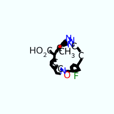 Cc1c2ccc3c1nnn3CCCCCc1ccc(c(F)c1)C(=O)N1CCc3ccc(cc3C1)C2CC(=O)O